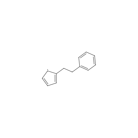 [CH]1C=CC=C1CCc1ccccc1